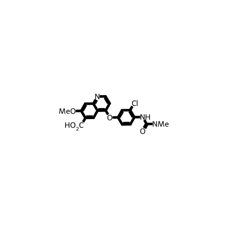 CNC(=O)Nc1ccc(Oc2ccnc3cc(OC)c(C(=O)O)cc23)cc1Cl